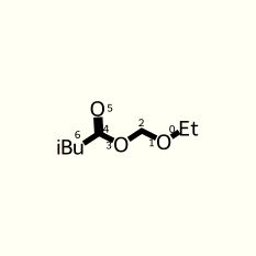 CCOCOC(=O)C(C)CC